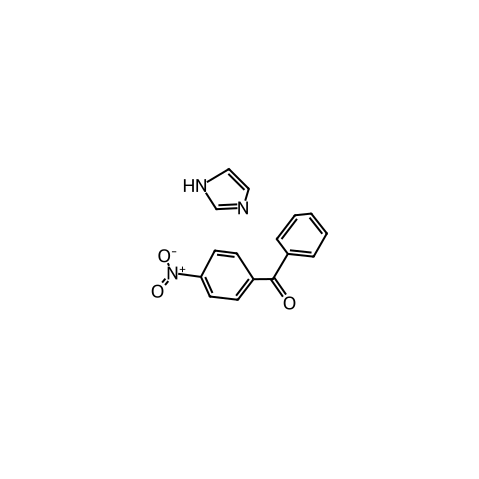 O=C(c1ccccc1)c1ccc([N+](=O)[O-])cc1.c1c[nH]cn1